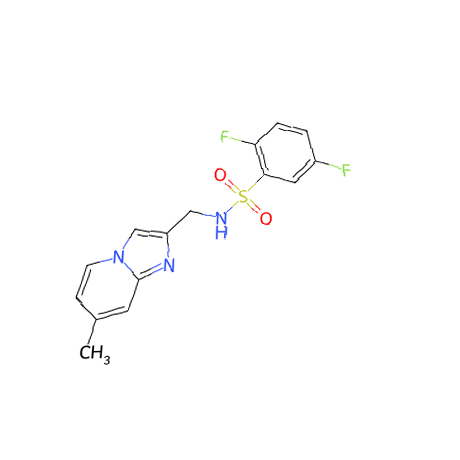 Cc1ccn2cc(CNS(=O)(=O)c3cc(F)ccc3F)nc2c1